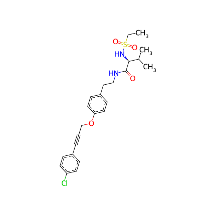 CCS(=O)(=O)N[C@H](C(=O)NCCc1ccc(OCC#Cc2ccc(Cl)cc2)cc1)C(C)C